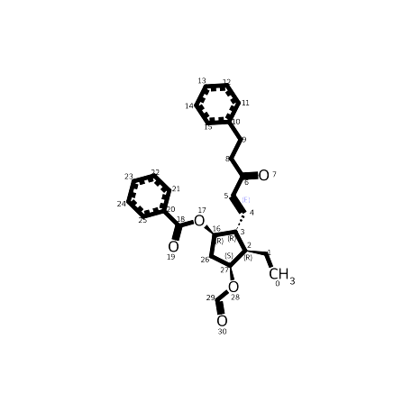 CC[C@@H]1[C@@H](/C=C/C(=O)CCc2ccccc2)[C@H](OC(=O)c2ccccc2)C[C@@H]1OC=O